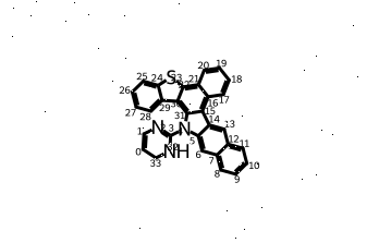 C1=CN=C(n2c3cc4ccccc4cc3c3c4ccccc4c4sc5ccccc5c4c32)NC1